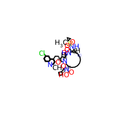 Cc1nc2ccc(Cl)cc2c2c1O[C@]1(CC2)C[C@H]2C(=O)N[C@]3(C(=O)NS(=O)(=O)C4(C)CC4)C[C@H]3/C=C\CCCCC[C@H](N(CC3CCC3)C(=O)O)C(=O)N2C1